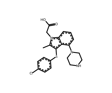 Cc1c(Sc2ccc(Cl)cc2)c2c(N3CCNCC3)cccc2n1CC(=O)O